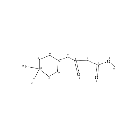 COC(=O)CC(=O)CC1CCC(F)(F)CC1